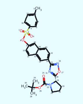 Cc1ccc(S(=O)(=O)Oc2ccc3cc(-c4noc([C@@H]5CCCN5C(=O)OC(C)(C)C)n4)ccc3c2)cc1